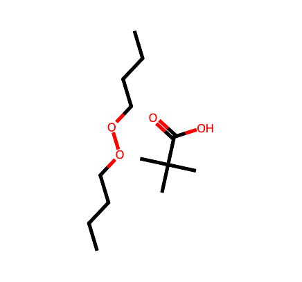 CC(C)(C)C(=O)O.CCCCOOCCCC